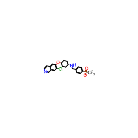 O=S(=O)(c1ccc(CN[C@H]2CC[C@H](Oc3cc4ccncc4cc3Cl)CC2)cc1)C(F)(F)F